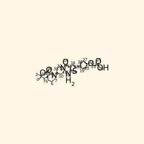 CC1(C)CC2(CCCN(C3CCN(C(=O)c4cc(-c5ccc(OCC(=O)O)cc5)sc4N)CC3)C2)C(=O)O1